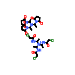 CC(N1C(=O)CCC1=O)N(C(C)N1C(=O)CCC1=O)C(C)N1C(=O)CCC1=O.CC(NC(=O)CCl)N(C(C)NC(=O)CCl)C(C)NC(=O)CCl